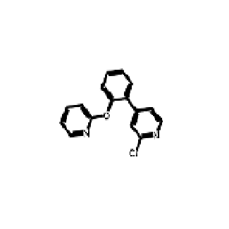 Clc1cc(-c2ccccc2Oc2ccccn2)ccn1